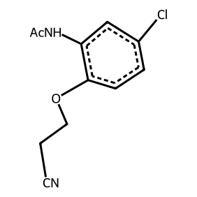 CC(=O)Nc1cc(Cl)ccc1OCCC#N